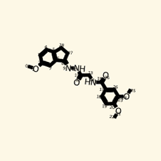 COc1ccc2c(c1)/C(=N/NC(=O)CNC(=O)c1ccc(OC)c(OC)c1)CC2